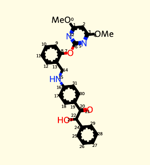 COc1cc(OC)nc(Oc2ccccc2CNc2ccc(C(=O)C(O)c3ccccc3)cc2)n1